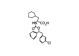 O=C(NC(CC1CCCCC1)C(=O)O)OC(Cc1cccc(Cl)c1)c1ccccc1